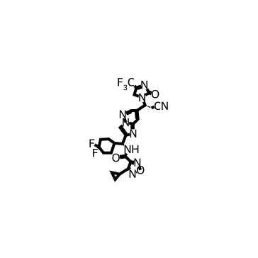 N#CC[C@H](c1cnn2cc([C@H](NC(=O)c3nonc3C3CC3)C3CCC(F)(F)CC3)nc2c1)N1CC(C(F)(F)F)=NC1=O